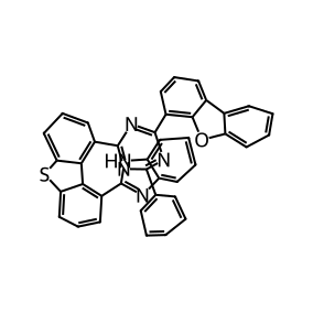 c1ccc(-c2nc(-c3cccc4c3oc3ccccc34)nc(-c3cccc4sc5cccc(-c6nc7ccccc7[nH]6)c5c34)n2)cc1